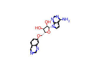 Nc1ncnc2c1ccn2[C@@H]1O[C@H](COc2ccc3cncnc3c2)[C@@H](O)[C@H]1O